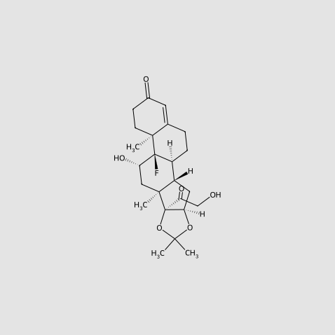 CC1(C)O[C@@H]2C[C@H]3[C@@H]4CCC5=CC(=O)CC[C@]5(C)[C@@]4(F)[C@@H](O)C[C@]3(C)[C@]2(C(=O)CO)O1